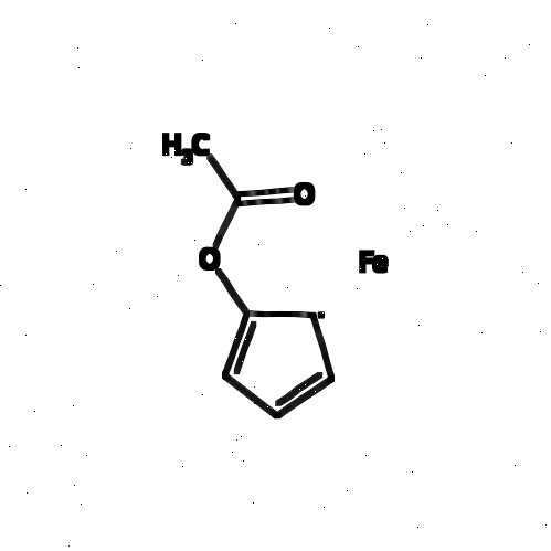 CC(=O)OC1=CC=C[CH]1.[Fe]